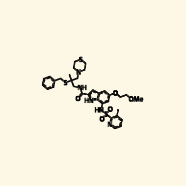 COCCOc1cc(NS(=O)(=O)c2ncccc2C)c2[nH]c(C(=O)NCC(C)(CN3CCSCC3)SCc3ccccc3)cc2c1